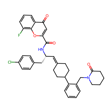 O=C(N[C@H](C=C1CCC(c2ccccc2CN2CCCCC2=O)CC1)Cc1ccc(Cl)cc1)c1cc(=O)c2cccc(F)c2o1